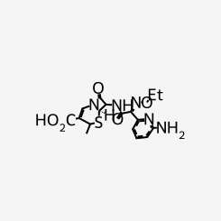 CCON=C(C(=O)NC1C(=O)N2C=C(C(=O)O)C(C)S[C@H]12)c1cccc(N)n1